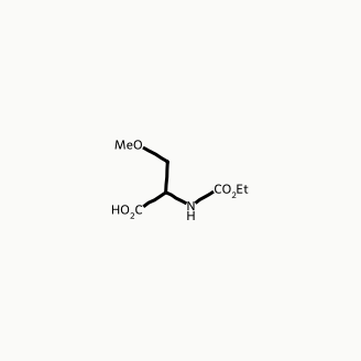 CCOC(=O)NC(COC)C(=O)O